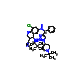 C[C@@H](Nc1c(C#N)cnc2c(Cl)cc(N[C@@H](c3ccccc3)c3cn(C4CCN(C(C)(C)C)CC4)nn3)cc12)C(C)(C)C